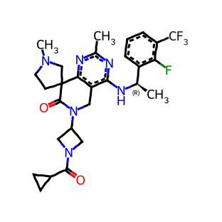 Cc1nc(N[C@H](C)c2cccc(C(F)(F)F)c2F)c2c(n1)C1(CCN(C)C1)C(=O)N(C1CN(C(=O)C3CC3)C1)C2